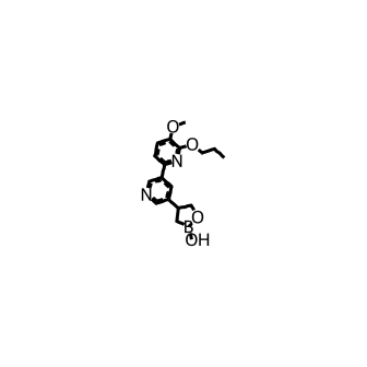 CCCOc1nc(-c2cncc(C3COB(O)C3)c2)ccc1OC